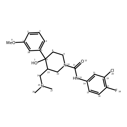 COc1cccc(C2(O)CCN(C(=O)Nc3ccc(F)c(Cl)c3)CC2CN(C)C)c1